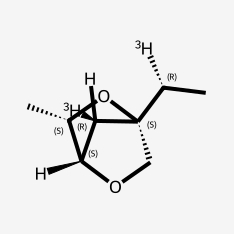 [3H][C@H](C)[C@]12CO[C@H]([C@H](C)O1)[C@H]2[3H]